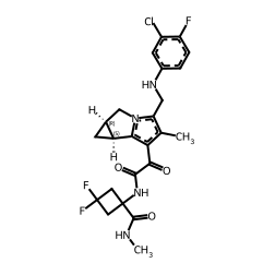 CNC(=O)C1(NC(=O)C(=O)c2c(C)c(CNc3ccc(F)c(Cl)c3)n3c2[C@H]2C[C@H]2C3)CC(F)(F)C1